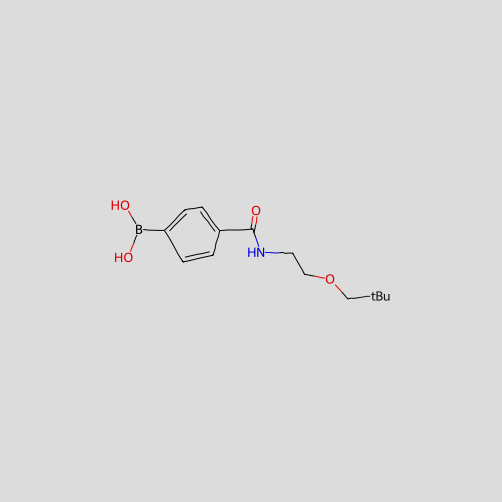 CC(C)(C)COCCNC(=O)c1ccc(B(O)O)cc1